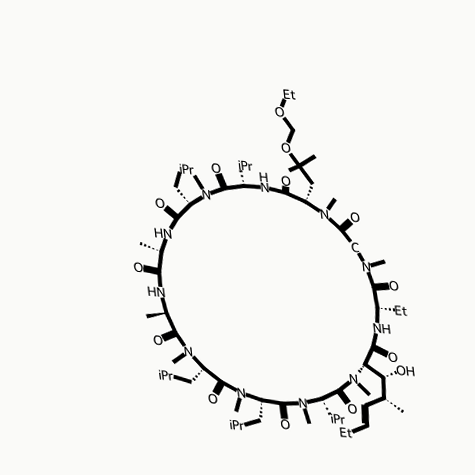 CC/C=C/[C@@H](C)[C@@H](O)[C@H]1C(=O)N[C@@H](CC)C(=O)N(C)CC(=O)N(C)[C@@H](CC(C)(C)OCOCC)C(=O)N[C@@H](C(C)C)C(=O)N(C)[C@@H](CC(C)C)C(=O)N[C@@H](C)C(=O)N[C@H](C)C(=O)N(C)[C@@H](CC(C)C)C(=O)N(C)[C@@H](CC(C)C)C(=O)N(C)[C@@H](C(C)C)C(=O)N1C